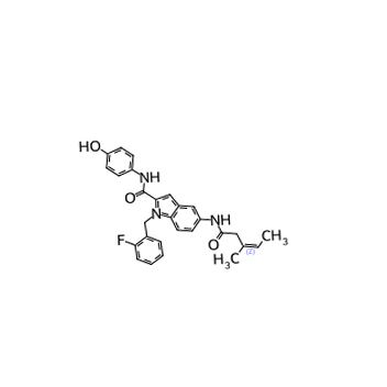 C/C=C(/C)CC(=O)Nc1ccc2c(c1)cc(C(=O)Nc1ccc(O)cc1)n2Cc1ccccc1F